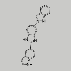 c1ccc2[nH][n+](-c3ccc4[nH]c(-c5ccc6[nH]ccc6c5)nc4c3)cc2c1